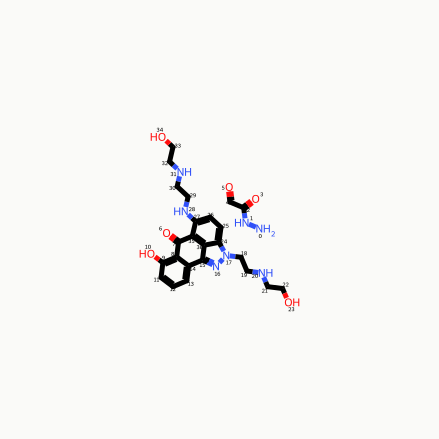 NNC(=O)C=O.O=C1c2c(O)cccc2-c2nn(CCNCCO)c3ccc(NCCNCCO)c1c23